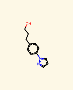 OCCCc1ccc(-n2cccn2)cc1